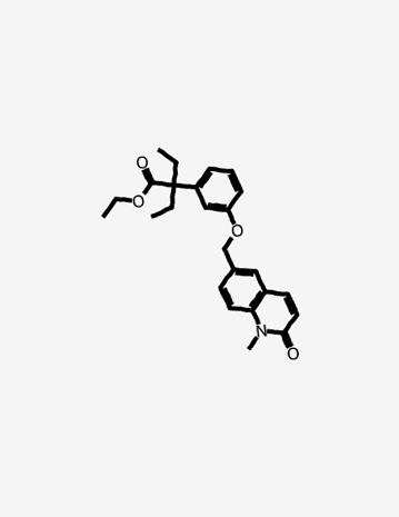 CCOC(=O)C(CC)(CC)c1cccc(OCc2ccc3c(ccc(=O)n3C)c2)c1